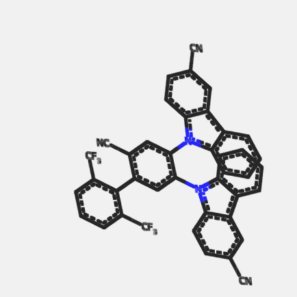 N#Cc1ccc2c(c1)c1ccccc1n2-c1cc(C#N)c(-c2c(C(F)(F)F)cccc2C(F)(F)F)cc1-n1c2ccccc2c2cc(C#N)ccc21